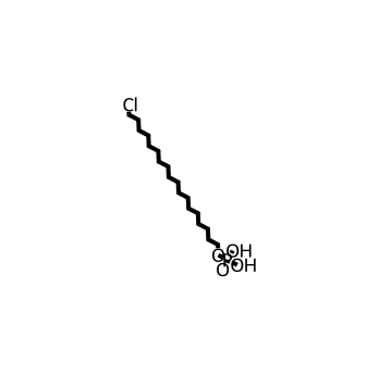 O=P(O)(O)OCCCCCCCCCCCCCCCCCCCl